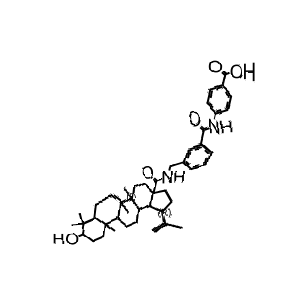 C=C(C)[C@@H]1CCC2(C(=O)NCc3cccc(C(=O)Nc4ccc(C(=O)O)cc4)c3)CC[C@]3(C)C(CCC4C5(C)CCC(O)C(C)(C)C5CCC43C)C12